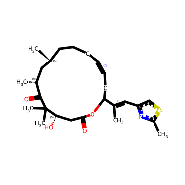 C/C(=C\c1csc(C)n1)C1C/C=C\CCC[C@H](C)C[C@@H](C)C(=O)C(C)(C)[C@@H](O)CC(=O)O1